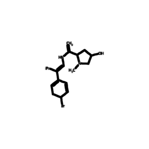 C=C(N/C=C(/C1=CCC(Br)C=C1)C(C)C)C1CC(O)CN1C